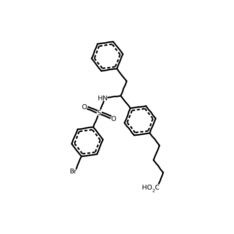 O=C(O)CCCc1ccc(C(Cc2ccccc2)NS(=O)(=O)c2ccc(Br)cc2)cc1